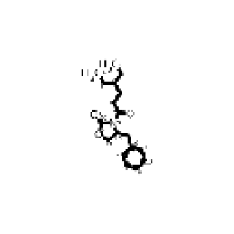 CCC(CC)CCC(=O)N1C(=O)OCC1Cc1ccccc1